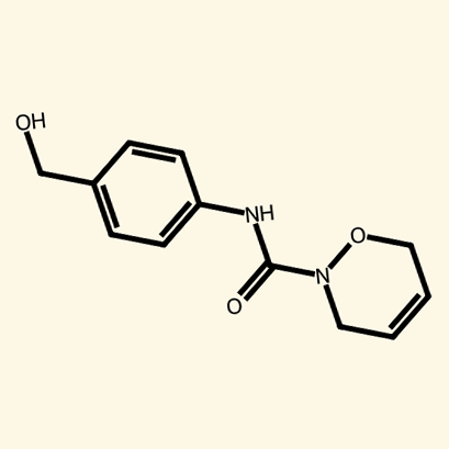 O=C(Nc1ccc(CO)cc1)N1CC=CCO1